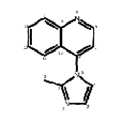 Cc1nccn1-c1ccnc2ccccc12